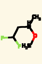 C[SiH](CC(F)F)O[SiH3]